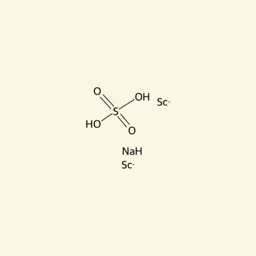 O=S(=O)(O)O.[NaH].[Sc].[Sc]